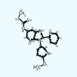 COc1ccc(-n2c(-c3ccccn3)nc3cc(OC(=S)SC)cnc32)cn1